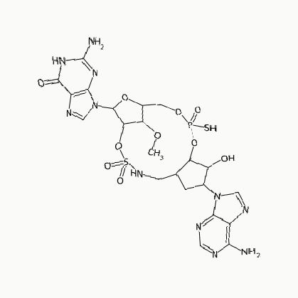 COC1C2COP(=O)(S)OC3C(CNS(=O)(=O)OC1C(n1cnc4c(=O)[nH]c(N)nc41)O2)CC(n1cnc2c(N)ncnc21)C3O